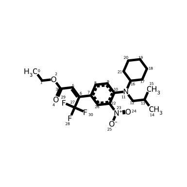 CCOC(=O)C=C(c1ccc(N(CC(C)C)C2CCCCC2)c([N+](=O)[O-])c1)C(F)(F)F